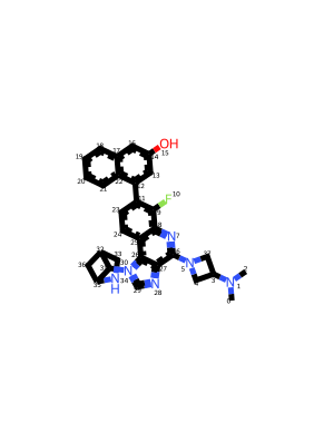 CN(C)C1CN(c2nc3c(F)c(-c4cc(O)cc5ccccc45)ccc3c3c2ncn3C2C3CNC2C3)C1